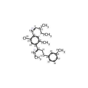 CCN(C)/C=N\c1cc(C)c(/C(CSc2cccc(C)c2)=N/C)cc1Cl